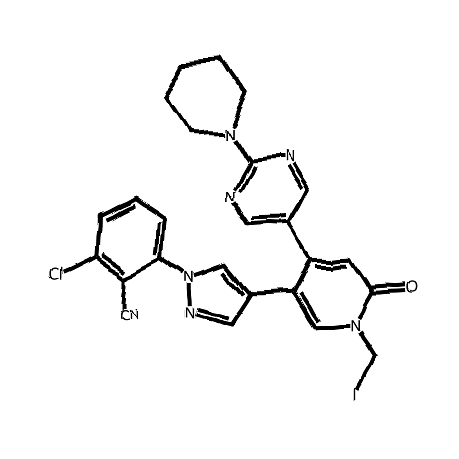 N#Cc1c(Cl)cccc1-n1cc(-c2cn(CI)c(=O)cc2-c2cnc(N3CCCCC3)nc2)cn1